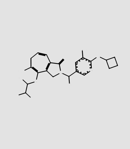 CC1=C(NC(O)C(C)C)C2=C(C=CC1)C(=O)N(C(C)c1cnc(OC3CCC3)c(C)c1)C2